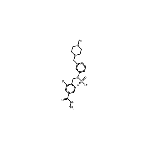 CCS(=O)(=O)N(Cc1ccc(C(=O)NN)cc1F)c1cccc(CN2CCN(C(C)=O)CC2)c1